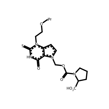 CC(C)OCCn1c(=S)[nH]c(=O)c2c1ccn2COC(=O)N1CCCC1C(=O)O